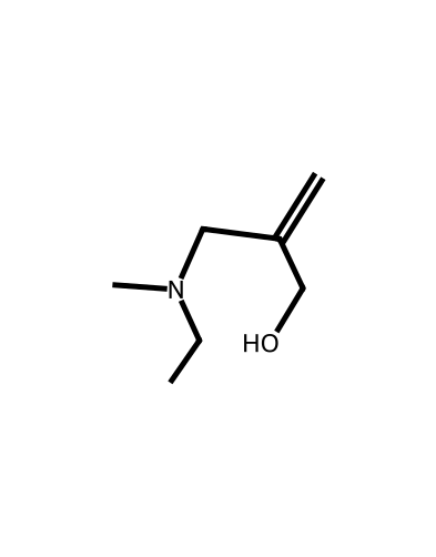 C=C(CO)CN(C)CC